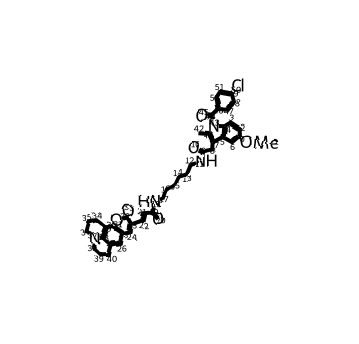 COc1ccc2c(c1)c(CC(=O)NCCCCCCNC(=O)/C=C/c1cc3cc4c5c(c3oc1=O)CCCN5CCC4)c(C)n2C(=O)c1ccc(Cl)cc1